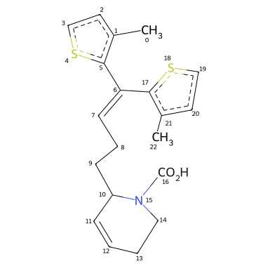 Cc1ccsc1C(=CCCC1C=CCCN1C(=O)O)c1sccc1C